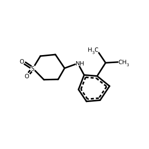 CC(C)c1ccccc1NC1CCS(=O)(=O)CC1